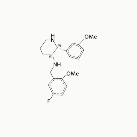 COc1cccc([C@H]2NCCC[C@H]2NCc2cc(F)ccc2OC)c1